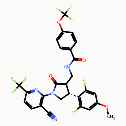 COc1cc(F)c([C@@H]2CN(c3nc(C(F)(F)F)ccc3C#N)C(=O)C2CNC(=O)c2ccc(OC(F)(F)F)cc2)c(F)c1